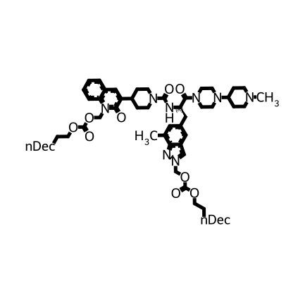 CCCCCCCCCCCCOC(=O)OCn1cc2cc(C[C@@H](NC(=O)N3CCC(c4cc5ccccc5n(COC(=O)OCCCCCCCCCCCC)c4=O)CC3)C(=O)N3CCN(C4CCN(C)CC4)CC3)cc(C)c2n1